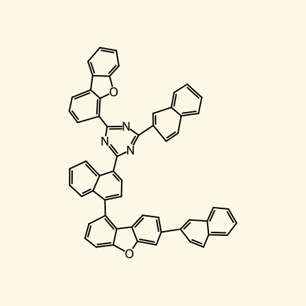 c1ccc2cc(-c3ccc4c(c3)oc3cccc(-c5ccc(-c6nc(-c7ccc8ccccc8c7)nc(-c7cccc8c7oc7ccccc78)n6)c6ccccc56)c34)ccc2c1